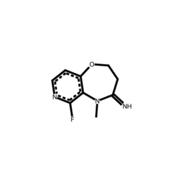 CN1C(=N)CCOc2ccnc(F)c21